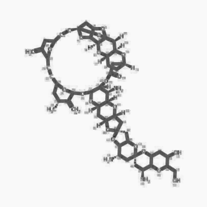 C=C1CC2CC[C@@]34CC5OC6[C@@H](O[C@H]7CC[C@H](CC(=O)O[C@H]8C(CC9OC(CCC1O2)C[C@@H](C)C9=C)O[C@H]1C[C@H]2O[C@@]9(CC%10O[C@]%11(C[C@H](N)C%12OC(CO)C(O)CC%12O%11)C[C@H](N)C%10O9)C[C@H]2O[C@H]1[C@@H]8N)O[C@@H]7[C@@H]6O3)C5O4